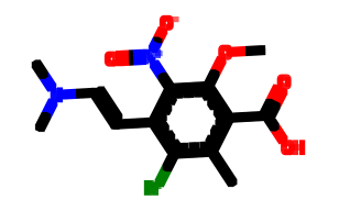 COc1c(C(=O)O)c(C)c(Br)c(C=CN(C)C)c1[N+](=O)[O-]